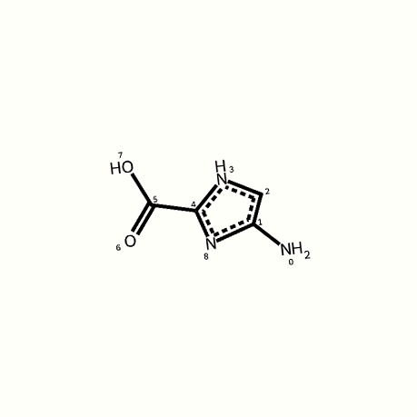 Nc1c[nH]c(C(=O)O)n1